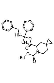 CC(C)(C)OC(=O)N1CCC2(CC2)CC1C(=O)OC(C)(NCc1ccccc1)c1ccccc1